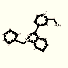 OCc1cc(-c2nn(Cc3ccccc3)c3ccccc23)ccn1